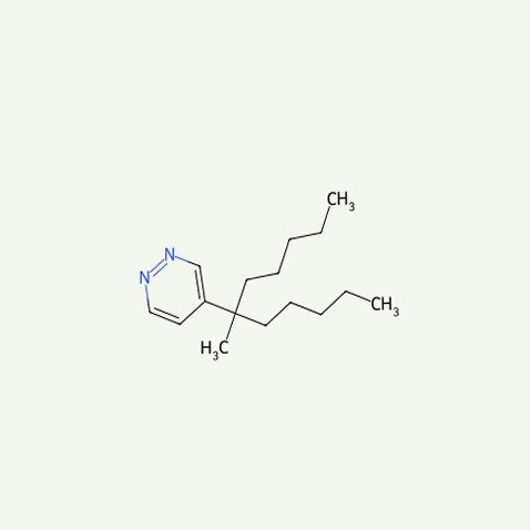 CCCCCC(C)(CCCCC)c1ccnnc1